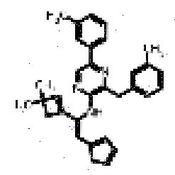 Cc1cccc(Cc2nc(-c3cccc(C)c3)cnc2N/C(=C\C2=CC=CC2)C2=CC(C)(C)C2)c1